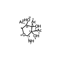 CC(=O)[C@@]1(O)[C@@](O)(C(C)=O)[C@H]([NH])OC[C@]1(O)C(C)=O